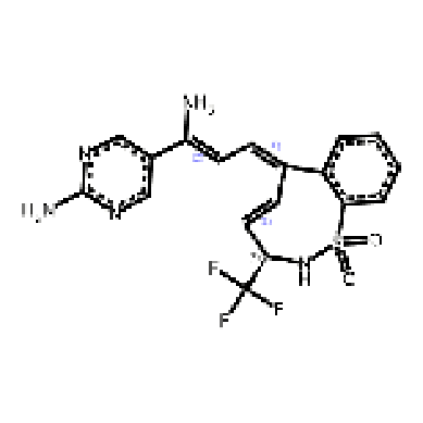 N\C(=C/C=C1\C=C\[C@H](C(F)(F)F)NS(=O)(=O)c2ccccc21)c1cnc(N)nc1